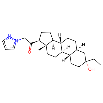 CC[C@@]1(O)CC[C@H]2[C@@H](CC[C@@H]3[C@@H]2CC[C@]2(C)[C@@H](C(=O)Cn4cccn4)CC[C@@H]32)C1